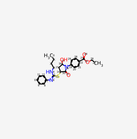 CCCCN/C(=N\c1ccccc1)SC1CC(O)N(c2ccc(C(=O)OCC)cc2)C1=O